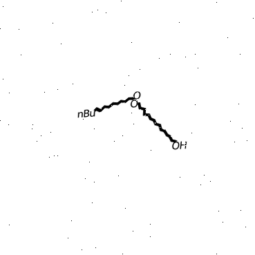 CCCCC=CCCCCCCCC(=O)OCCCCCCCCCCCCCCCO